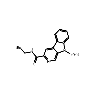 CCCCCn1c2ccccc2c2cc(C(=O)NCC(C)(C)C)ncc21